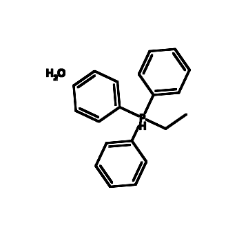 CC[PH](c1ccccc1)(c1ccccc1)c1ccccc1.O